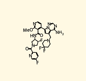 COc1nccc(-c2cc(CN3CCC(F)(F)CC3)c3c(N)ncnn23)c1C(=O)N[C@@H]1CN(C(=O)c2ccc(F)cn2)C[C@@H]1F